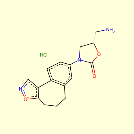 Cl.NC[C@H]1CN(c2ccc3c(c2)CCCc2oncc2-3)C(=O)O1